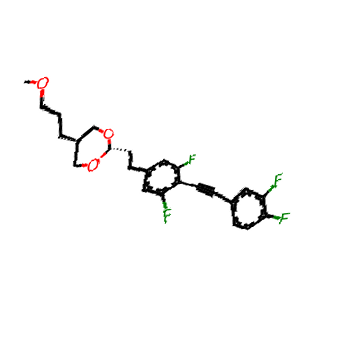 COCCC[C@H]1CO[C@H](CCc2cc(F)c(C#Cc3ccc(F)c(F)c3)c(F)c2)OC1